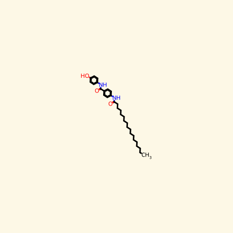 CCCCCCCCCCCCCCCCCC(=O)Nc1ccc(C(=O)Nc2ccc(O)cc2)cc1